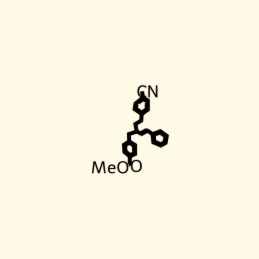 COC(=O)c1ccc(CC(/C=C/c2ccccc2)CCc2ccc(C#N)cc2)cc1